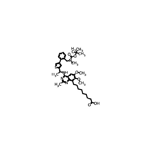 COc1cc2c(NC(C)c3cc(-c4ccccc4CN(C)C(=O)OC(C)(C)C)cs3)nc(C)nc2c(CCCCCCCCC(=O)O)c1OC